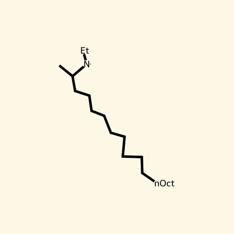 CCCCCCCCCCCCCCCCCC(C)[N]CC